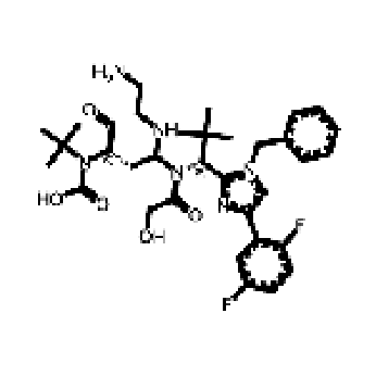 CC(C)(C)[C@H](c1nc(-c2cc(F)ccc2F)cn1Cc1ccccc1)N(C(=O)CO)C(C[C@@H](C=O)N(C(=O)O)C(C)(C)C)NCCN